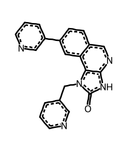 O=c1[nH]c2ncc3ccc(-c4cccnc4)cc3c2n1Cc1cccnc1